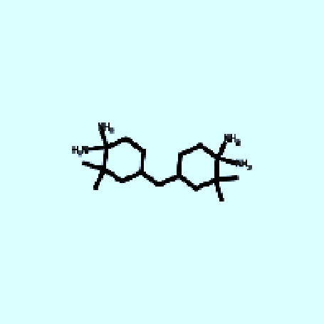 CC1(C)CC(CC2CCC(N)(N)C(C)(C)C2)CCC1(N)N